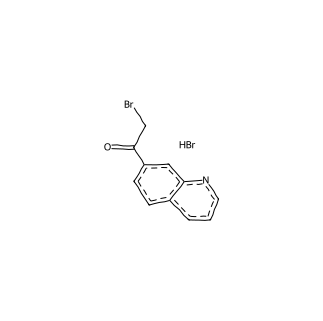 Br.O=C(CBr)c1ccc2cccnc2c1